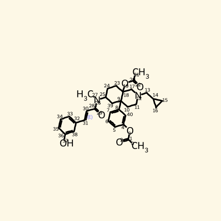 CC(=O)Oc1cccc(C23CCN(CC4CC4)CC2(OC(C)=O)CCC(N(C)C(=O)/C=C/c2cccc(O)c2)C3)c1